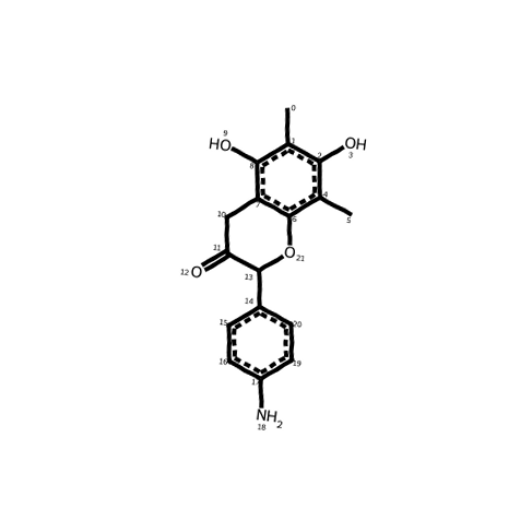 Cc1c(O)c(C)c2c(c1O)CC(=O)C(c1ccc(N)cc1)O2